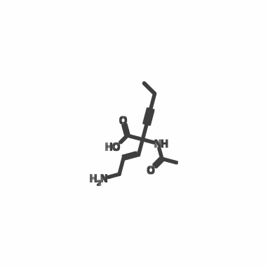 CCC#CC(C=CCN)(NC(C)=O)C(=O)O